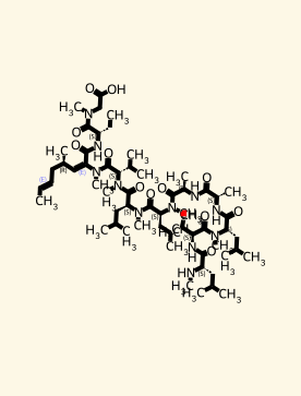 C/C=C/C[C@@H](C)/C=C(\C(=O)N[C@@H](CC)C(=O)N(C)CC(=O)O)N(C)C(=O)[C@H](C(C)C)N(C)C(=O)[C@H](CC(C)C)N(C)C(=O)[C@H](CC(C)C)N(C)C(=O)[C@@H](C)NC(=O)[C@H](C)NC(=O)[C@H](CC(C)C)N(C)C(=O)[C@@H](NC(=O)[C@H](CC(C)C)NC)C(C)C